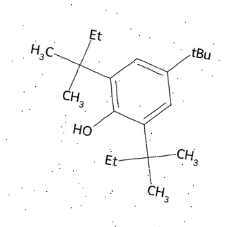 CCC(C)(C)c1cc(C(C)(C)C)cc(C(C)(C)CC)c1O